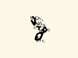 Cc1cnccc1NC(=O)C(C)Cn1c2c(c3cc(Cl)ccc31)C1CCC(C2)N1C